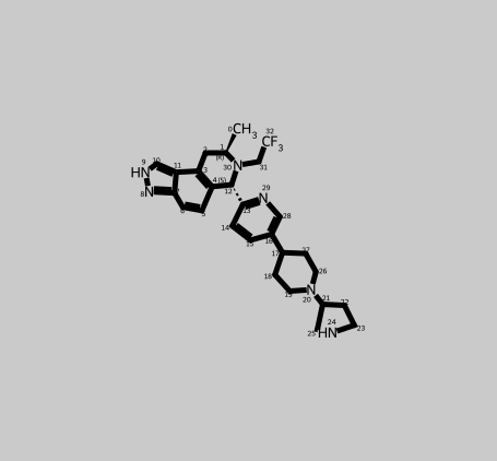 C[C@@H]1Cc2c(ccc3n[nH]cc23)[C@@H](c2ccc(C3CCN(C4CCNC4)CC3)cn2)N1CC(F)(F)F